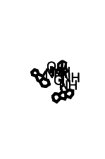 O=C(NCc1c2ccccc2cc2ccccc12)NC12CC3CC(C1)CC(NC(=O)NCc1c4ccccc4cc4ccccc14)(C3)C2